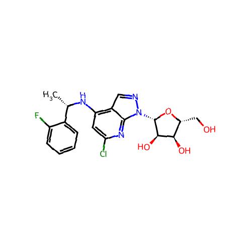 C[C@H](Nc1cc(Cl)nc2c1cnn2[C@@H]1O[C@H](CO)[C@@H](O)[C@H]1O)c1ccccc1F